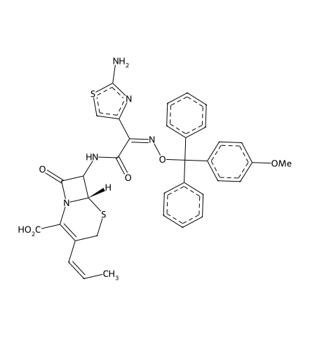 C/C=C\C1=C(C(=O)O)N2C(=O)C(NC(=O)/C(=N\OC(c3ccccc3)(c3ccccc3)c3ccc(OC)cc3)c3csc(N)n3)[C@@H]2SC1